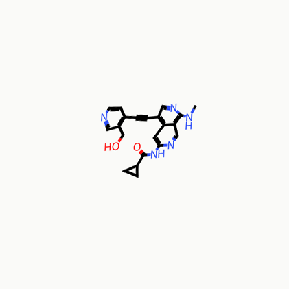 CNc1ncc(C#Cc2ccncc2CO)c2cc(NC(=O)C3CC3)ncc12